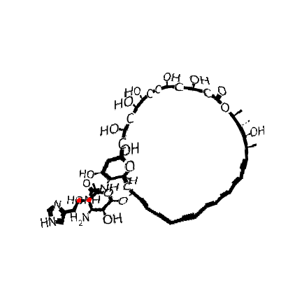 C[C@@H]1[C@H](O)[C@@H](C)/C=C/C=C/C=C/C=C/C=C/C=C/C=C/[C@H](O[C@@H]2O[C@H](C)[C@@H](O)[C@H](N)[C@@H]2O)C[C@@H]2O[C@](O)(C[C@@H](O)C[C@@H](O)[C@H](O)CC[C@@H](O)C[C@@H](O)CC(=O)O[C@H]1C)C[C@H](O)[C@H]2NC(=O)NCCc1c[nH]cn1